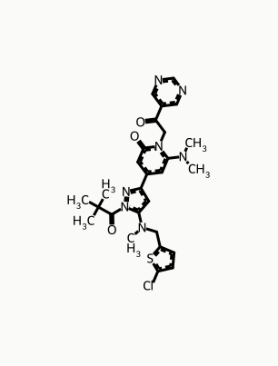 CN(C)c1cc(-c2cc(N(C)Cc3ccc(Cl)s3)n(C(=O)C(C)(C)C)n2)cc(=O)n1CC(=O)c1cncnc1